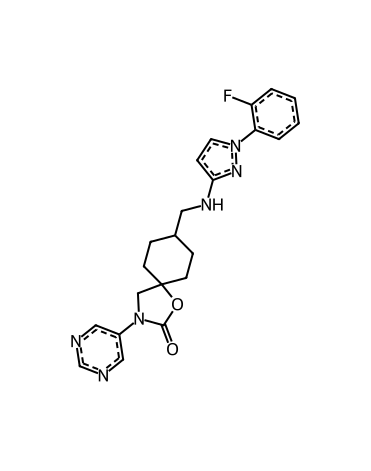 O=C1OC2(CCC(CNc3ccn(-c4ccccc4F)n3)CC2)CN1c1cncnc1